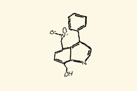 O=[N+]([O-])c1ccc(O)c2nccc(-c3ccccc3)c12